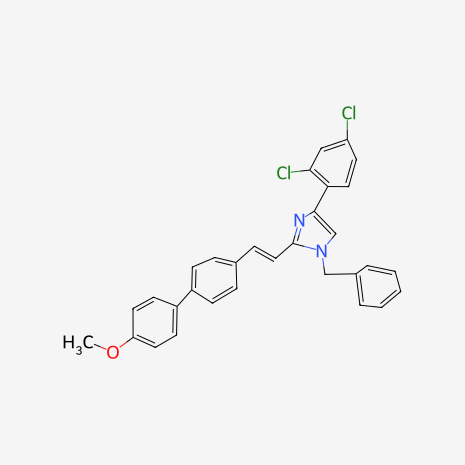 COc1ccc(-c2ccc(C=Cc3nc(-c4ccc(Cl)cc4Cl)cn3Cc3ccccc3)cc2)cc1